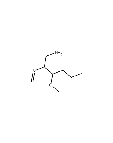 C=NC(CN)C(CCC)OC